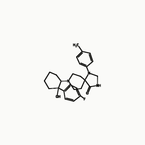 Cc1ccc(N2CNC(=O)C23CCN(C2CCCCC2(O)c2ccc(F)cc2)CC3)cc1